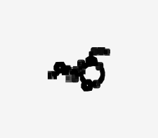 COCc1cc2cc(c1)C(=O)N[C@H]([C@H](O)CNCc1cccc(C(C)C)c1)Cc1cccc(c1)OCCCCO2